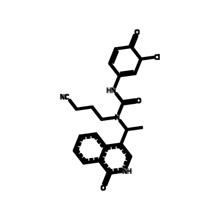 CC(c1c[nH]c(=O)c2ccccc12)N(CCCC#N)C(=O)NC1=CC(Cl)C(=O)C=C1